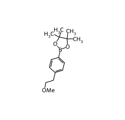 COCCc1ccc(B2OC(C)(C)C(C)(C)O2)cc1